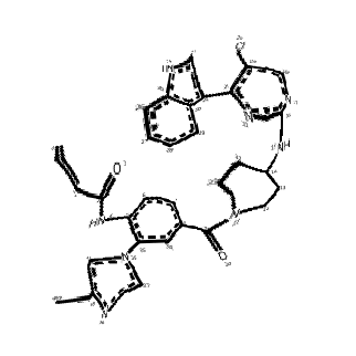 C=CC(=O)Nc1ccc(C(=O)N2CCC(Nc3ncc(Cl)c(-c4c[nH]c5ccccc45)n3)CC2)cc1-n1cnc(C)c1